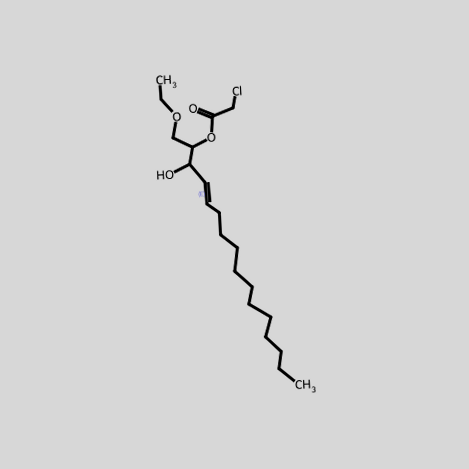 CCCCCCCCCCC/C=C/C(O)C(COCC)OC(=O)CCl